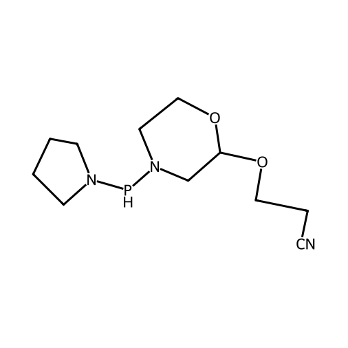 N#CCCOC1CN(PN2CCCC2)CCO1